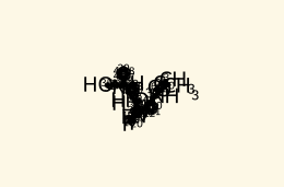 CC(C)(C)OC(=O)NCc1cccc(-n2nc(C(F)(F)F)cc2C(=O)Nc2cccc(C(NCCO)c3ccccc3)c2)c1